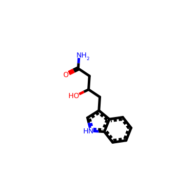 NC(=O)CC(O)Cc1c[nH]c2ccccc12